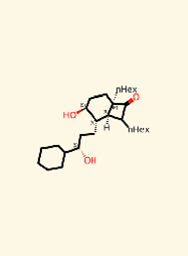 CCCCCCC1C(=O)[C@]2(CCCCCC)CC[C@H](O)[C@@H](CC[C@H](O)C3CCCCC3)[C@H]12